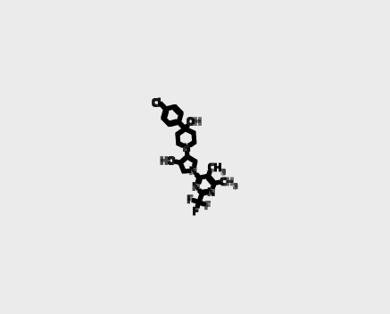 Cc1nc(C(F)(F)F)nc(N2CC(O)C(N3CCC(O)(c4ccc(Cl)cc4)CC3)C2)c1C